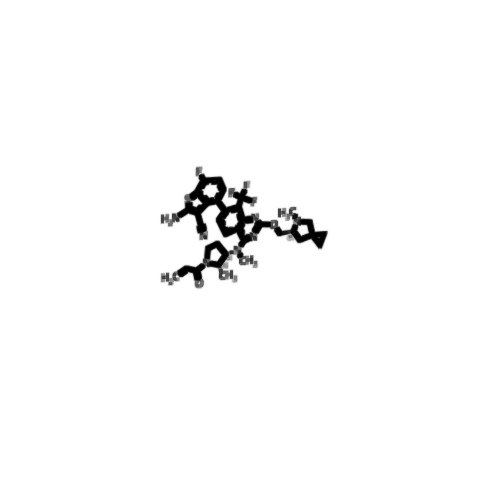 C=CC(=O)N1CC[C@H](N(C)c2nc(OC[C@@H]3CC4(CC4)CN3C)nc3c(C(F)(F)F)c(-c4ccc(F)c5sc(N)c(C#N)c45)ccc23)[C@@H]1C